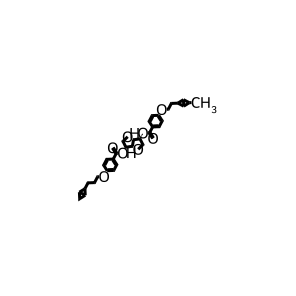 CC1C2C(CCOc3ccc(C(=O)O[C@@H]4CO[C@H]5[C@@H]4OC[C@@H]5OC(=O)c4ccc(OCCCC5C6CC56)cc4)cc3)C12